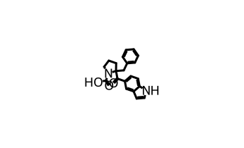 O=C(O)N1CCCC1(Cc1ccccc1)C(=O)c1ccc2[nH]ccc2c1